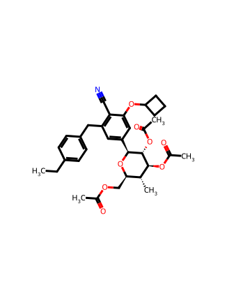 CCc1ccc(Cc2cc([C@@H]3O[C@H](COC(C)=O)[C@@H](C)[C@H](OC(C)=O)[C@H]3OC(C)=O)cc(OC3CCC3)c2C#N)cc1